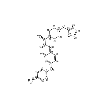 O=C(c1ccc2cc(Oc3ccc(C(F)(F)F)cn3)ccc2n1)N1CCN(Cc2ncco2)CC1